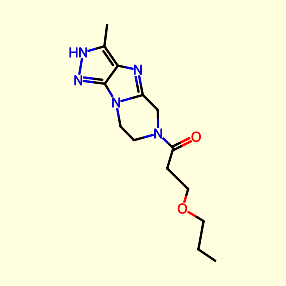 CCCOCCC(=O)N1CCn2c(nc3c(C)[nH]nc32)C1